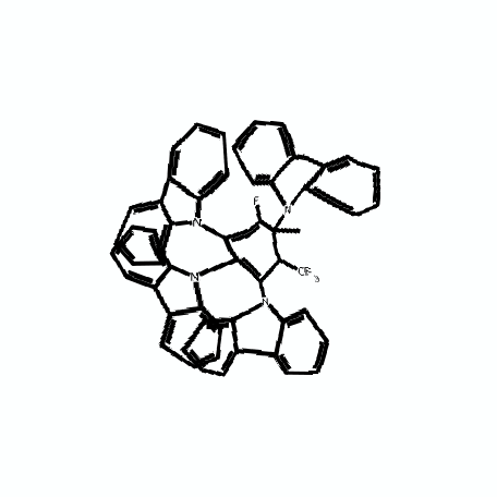 CC1(n2c3ccccc3c3ccccc32)C(F)=C(n2c3ccccc3c3ccccc32)C(n2c3ccccc3c3ccccc32)=C(n2c3ccccc3c3ccccc32)C1C(F)(F)F